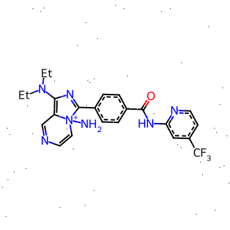 CCN(CC)C1=C2C=NC=C[N+]2(N)C(c2ccc(C(=O)Nc3cc(C(F)(F)F)ccn3)cc2)=N1